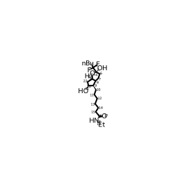 CCCCC(F)(F)[C@@]1(O)CCC2[C@@H](CCCCCCC(=O)NCC)[C@@H](O)C[C@H]2O1